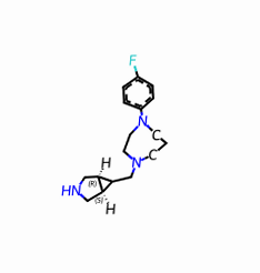 Fc1ccc(N2CCCN(CC3[C@H]4CNC[C@@H]34)CC2)cc1